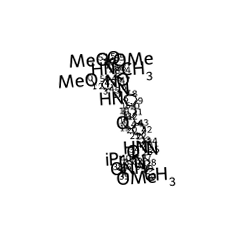 COC[C@H]1C[C@@H](c2nc3ccc4cc5c(cc4c3[nH]2)OCc2cc(-c3cnc([C@@H]4C[C@H](C)CN4C(=O)[C@@H](NC(=O)OC)C(C)C)[nH]3)ccc2-5)N(C(=O)C(NC(=O)OC)[C@@H](C)OC)C1